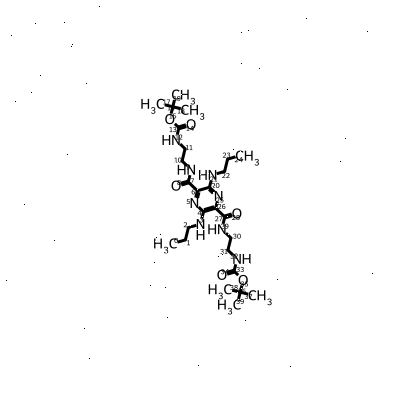 CCCNc1nc(C(=O)NCCNC(=O)OC(C)(C)C)c(NCCC)nc1C(=O)NCCNC(=O)OC(C)(C)C